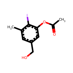 CC(=O)Oc1cc(CO)cc(C)c1I